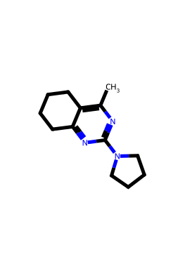 Cc1nc(N2CCCC2)nc2c1CCCC2